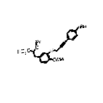 CCCCc1ccc(C#CCOc2cc(CC(OC(C)C)C(=O)O)ccc2OC)cc1